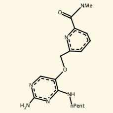 CCCCCNc1nc(N)ncc1OCc1cccc(C(=O)NC)n1